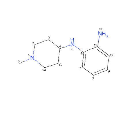 CN1CCC(Nc2ccccc2N)CC1